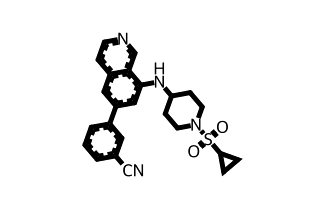 N#Cc1cccc(-c2cc(NC3CCN(S(=O)(=O)C4CC4)CC3)c3cnccc3c2)c1